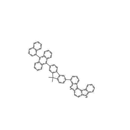 CC1(C)c2ccc(-c3cccc4c3sc3ccc5sc6ccccc6c5c34)cc2-c2ccc(-c3c4ccccc4c(-c4cccc5ccccc45)c4ccccc34)cc21